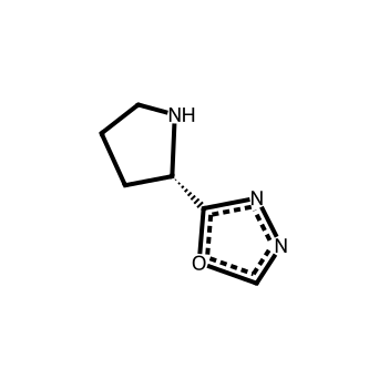 c1nnc([C@@H]2CCCN2)o1